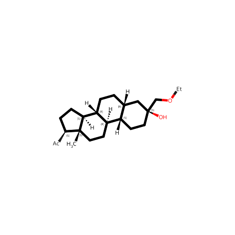 CCOC[C@]1(O)CC[C@H]2[C@H](CC[C@@H]3[C@@H]2CC[C@]2(C)[C@@H](C(C)=O)CC[C@@H]32)C1